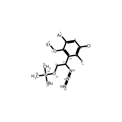 CCOc1c(C(C)=O)cc(Cl)c(F)c1C(CO[Si](C)(C)C(C)(C)C)N=[N+]=N